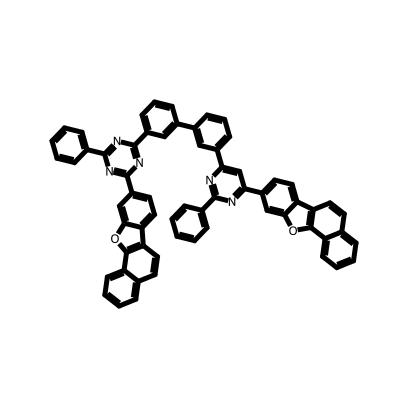 c1ccc(-c2nc(-c3cccc(-c4cccc(-c5nc(-c6ccccc6)nc(-c6ccc7c(c6)oc6c8ccccc8ccc76)n5)c4)c3)cc(-c3ccc4c(c3)oc3c5ccccc5ccc43)n2)cc1